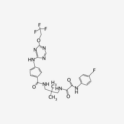 CC(C)(CNC(=O)C(=O)Nc1ccc(F)cc1)CNC(=O)c1ccc(Nc2ncnc(OCC(F)(F)F)n2)cc1